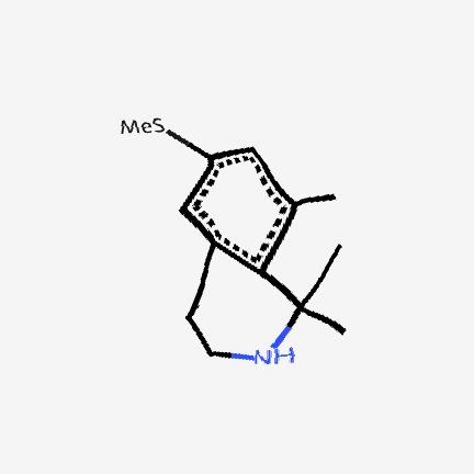 CSc1cc(C)c2c(c1)CCNC2(C)C